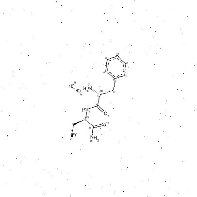 CC(C)C[C@@H](NC(=O)[C@H](N)Cc1ccccc1)C(N)=O.Cl.Cl